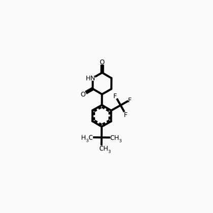 CC(C)(C)c1ccc(C2CCC(=O)NC2=O)c(C(F)(F)F)c1